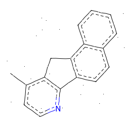 Cc1ccnc2c1Cc1c-2ccc2ccccc12